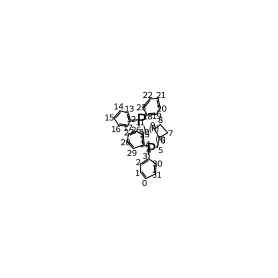 c1ccc(P(C[C@@H]2CC[C@H]2CP(c2ccccc2)c2ccccc2)c2ccccc2)cc1